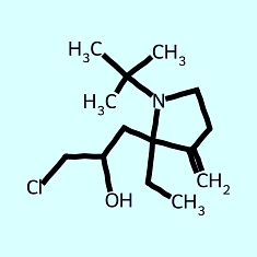 C=C1CCN(C(C)(C)C)C1(CC)CC(O)CCl